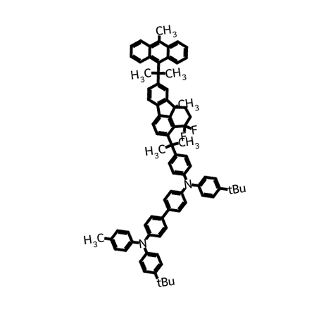 Cc1ccc(N(c2ccc(-c3ccc(N(c4ccc(C(C)(C)C)cc4)c4ccc(C(C)(C)c5ccc6c7c5C(F)(F)CCC7(C)c5cc(C(C)(C)c7c8ccccc8c(C)c8ccccc78)ccc5-6)cc4)cc3)cc2)c2ccc(C(C)(C)C)cc2)cc1